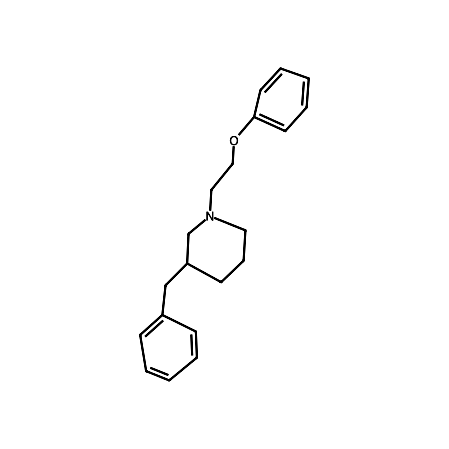 c1ccc(CC2CCCN(CCOc3ccccc3)C2)cc1